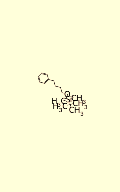 CC(C)(C)[Si](C)(C)OCCCCc1ccccc1